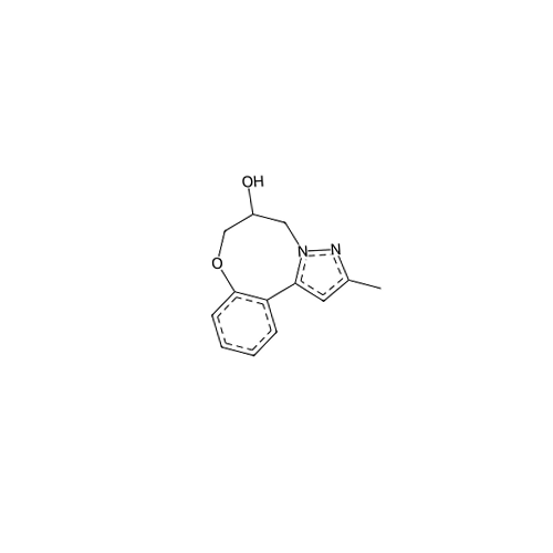 Cc1cc2n(n1)CC(O)COc1ccccc1-2